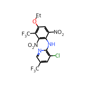 CCOc1cc([N+](=O)[O-])c(Nc2ncc(C(F)(F)F)cc2Cl)c([N+](=O)[O-])c1C(F)(F)F